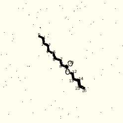 CCCCCCCCCC(=O)OCCCCC